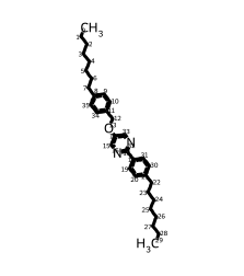 CCCCCCCCc1ccc(COc2cnc(-c3ccc(CCCCCCCC)cc3)nc2)cc1